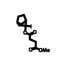 COC(=O)CCC(=O)OC1(I)CC2CCC1C2